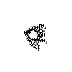 CCCc1cc(Cl)ccc1[C@@H]1COc2ccc3cc2N(C1)C[C@@H]1CC[C@H]1[C@@](O)(c1cccc(OC)n1)/C=C/C[C@H](C)[C@@H](C)S(=O)(=O)NC3=O